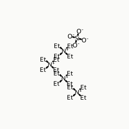 CC[N+](CC)(CC)CC.CC[N+](CC)(CC)CC.CC[N+](CC)(CC)CC.CC[N+](CC)(CC)CC.[O-][Si]([O-])([O-])[O-]